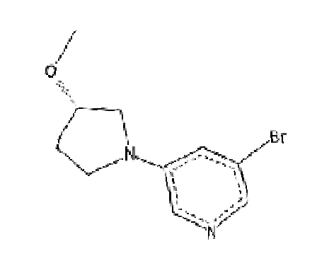 CO[C@H]1CCN(c2cncc(Br)c2)C1